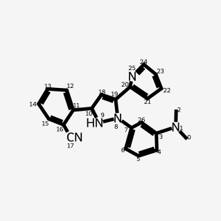 CN(C)c1cccc(N2NC(c3ccccc3C#N)C=C2c2ccccn2)c1